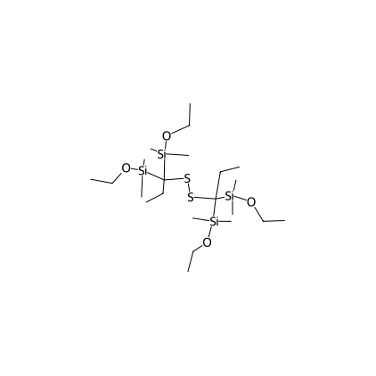 CCO[Si](C)(C)C(CC)(SSC(CC)([Si](C)(C)OCC)[Si](C)(C)OCC)[Si](C)(C)OCC